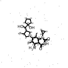 Cc1c(N2CC(F)C(C(O)C3(O)CCCC3)C2)c(F)c(N)c2c(=O)[nH]c(=O)n(C3CC3)c12